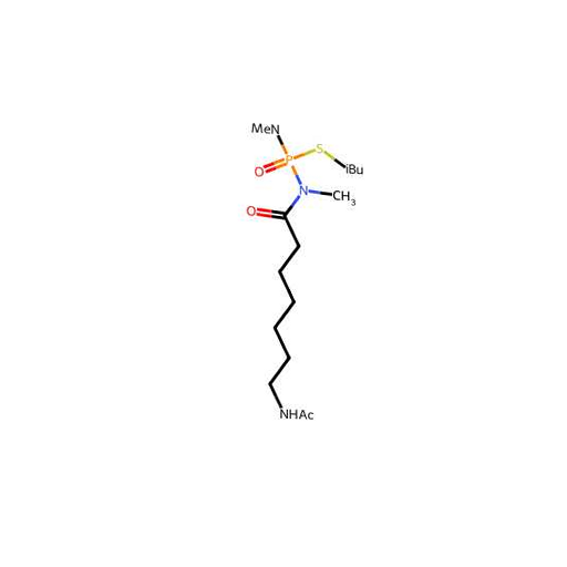 CCC(C)SP(=O)(NC)N(C)C(=O)CCCCCCNC(C)=O